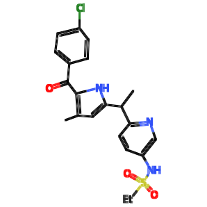 CCS(=O)(=O)Nc1ccc(C(C)c2cc(C)c(C(=O)c3ccc(Cl)cc3)[nH]2)nc1